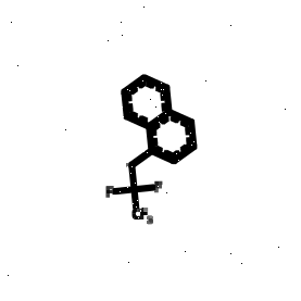 FC(F)(F)C(F)(F)[CH]c1cccc2ccccc12